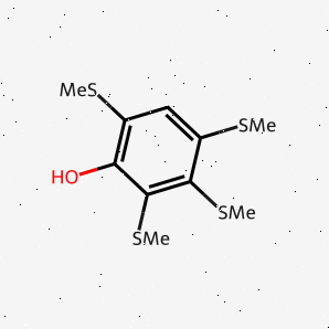 CSc1cc(SC)c(SC)c(SC)c1O